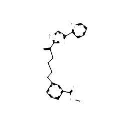 COC(=O)c1cccc(CCCCC(=O)c2ncc(-c3ccccn3)o2)c1